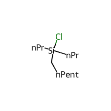 CCCCCC[Si](Cl)(CCC)CCC